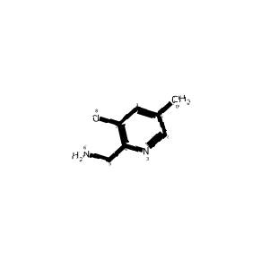 Cc1cnc(CN)c(Cl)c1